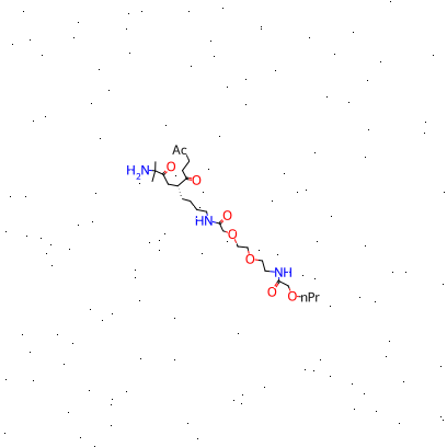 CCCOCC(=O)NCCOCCOCC(=O)NCCCC[C@H](CC(=O)C(C)(C)N)C(=O)CCC(C)=O